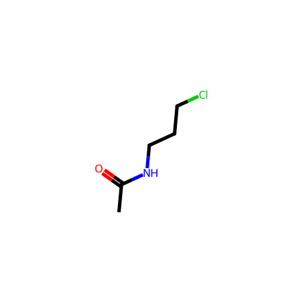 CC(=O)NCCCCl